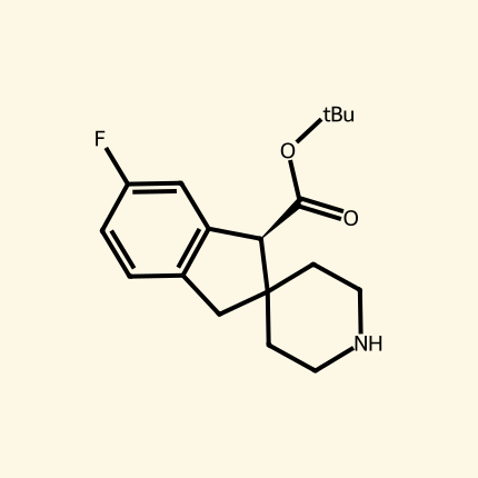 CC(C)(C)OC(=O)[C@@H]1c2cc(F)ccc2CC12CCNCC2